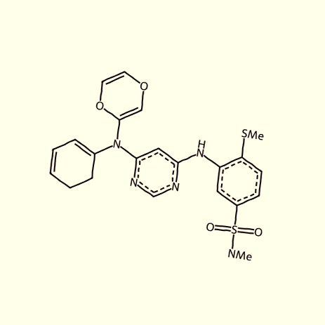 CNS(=O)(=O)c1ccc(SC)c(Nc2cc(N(C3=CC=CCC3)C3=COC=CO3)ncn2)c1